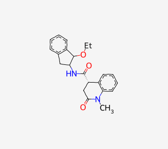 CCOC1c2ccccc2CC1NC(=O)[C@H]1CC(=O)N(C)c2ccccc21